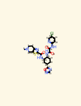 CN1CCc2nc(C(=O)N[C@@H]3C[C@@H](c4ncno4)CC[C@@H]3NC(=O)C(=O)Nc3ccc(Cl)cn3)sc2C1